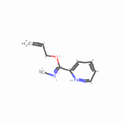 C=CCO/C(=N\C#N)c1ccccn1